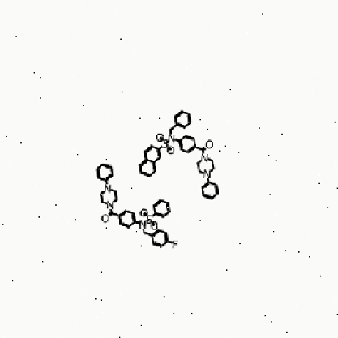 O=C(c1ccc(N(Cc2ccc(F)cc2)S(=O)(=O)c2ccccc2)cc1)N1CCN(c2ccccc2)CC1.O=C(c1ccc(N(Cc2ccccc2)S(=O)(=O)c2ccc3ccccc3c2)cc1)N1CCN(c2ccccc2)CC1